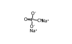 N#CP(=O)([O-])[O-].[Na+].[Na+]